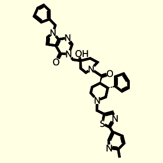 Cc1ccc(-c2ncc(CN3CC[C@@H](C(=O)N4CCC(O)(Cn5cnc6c(ccn6Cc6ccccc6)c5=O)CC4)[C@H](c4ccccc4)C3)s2)cn1